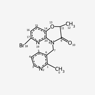 Cc1ncccc1CN1C(=O)C(C)Oc2ccc(Br)nc21